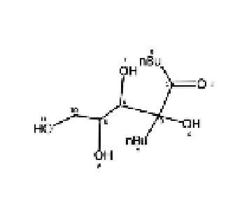 CCCCC(=O)C(O)(CCCC)C(O)C(O)CO